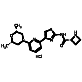 C[C@@H]1CN(c2cccc(-c3csc(NC(=O)[C@H]4CCN4)n3)n2)C[C@H](C)O1.Cl